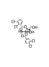 OC[C@@H](O)[C@H]1OC(c2cccc(Cl)c2Cl)O[C@H]2COC(c3ccc(Cl)c(Cl)c3)O[C@@H]12